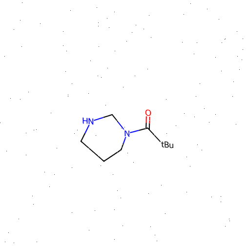 CC(C)(C)C(=O)N1CCCNC1